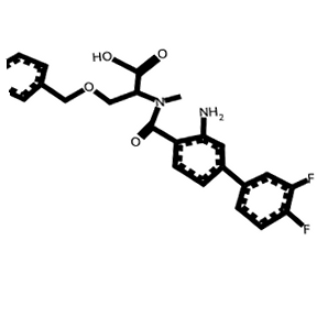 CN(C(=O)c1ccc(-c2ccc(F)c(F)c2)cc1N)C(COCc1ccccc1)C(=O)O